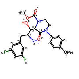 COc1ccc(N2CCN(C(=O)OC(C)(C)C)C(C(O)C(N)Cc3cc(F)cc(F)c3)C2=O)cc1